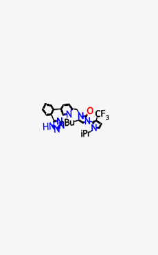 CCCCc1cn(-c2c(C(F)(F)F)ccn2C(C)C)c(=O)n1Cc1ccc(-c2ccccc2-c2nnn[nH]2)cn1